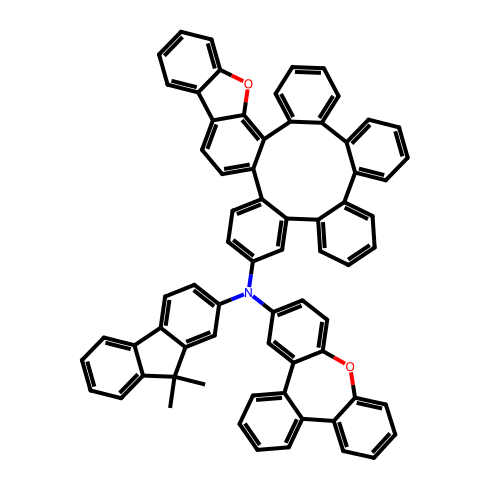 CC1(C)c2ccccc2-c2ccc(N(c3ccc4c(c3)-c3ccccc3-c3ccccc3O4)c3ccc4c(c3)c3ccccc3c3ccccc3c3ccccc3c3c4ccc4c5ccccc5oc43)cc21